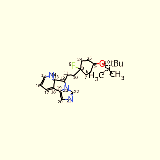 CC(C)(C)[Si](C)(C)OC1CCC(F)(CCC2c3ncccc3-c3cncn32)CC1